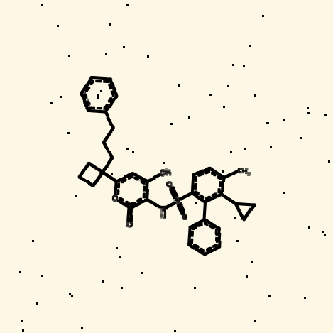 Cc1ccc(S(=O)(=O)Nc2c(O)cc(C3(CCCc4ccccc4)CCC3)oc2=O)c(-c2ccccc2)c1C1CC1